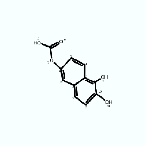 O=C(O)Oc1ccc2c(O)c(O)ccc2c1